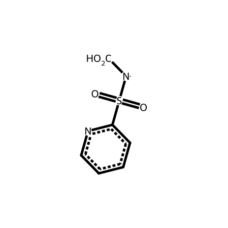 O=C(O)[N]S(=O)(=O)c1ccccn1